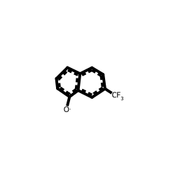 [O]c1cccc2ccc(C(F)(F)F)cc12